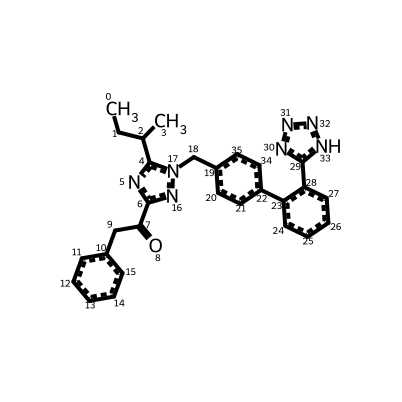 CCC(C)c1nc(C(=O)Cc2ccccc2)nn1Cc1ccc(-c2ccccc2-c2nnn[nH]2)cc1